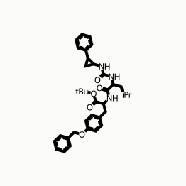 CC(C)CC(NC(=O)NC1CC1c1ccccc1)C(=O)NC(Cc1ccc(OCc2ccccc2)cc1)C(=O)OC(C)(C)C